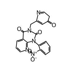 O=C1C=C(Cn2c(=O)c3cccnc3n(-c3ccccc3[N+](=O)[O-])c2=O)N=CC1